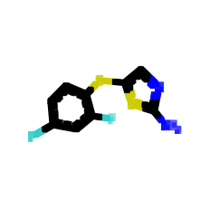 Nc1ncc(Sc2ccc(F)cc2F)s1